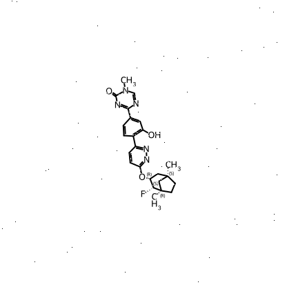 Cn1cnc(-c2ccc(-c3ccc(O[C@@H]4C[C@@]5(C)CC[C@](C)(C5)[C@@H]4F)nn3)c(O)c2)nc1=O